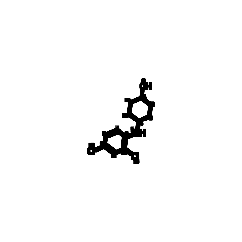 OC1CCC(Nc2ccc(Cl)cc2Cl)CC1